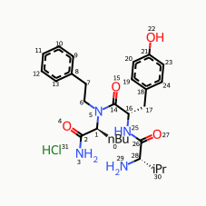 CCCC[C@@H](C(N)=O)N(CCc1ccccc1)C(=O)[C@H](Cc1ccc(O)cc1)NC(=O)[C@@H](N)C(C)C.Cl